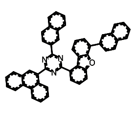 c1ccc2cc(-c3nc(-c4cc5ccccc5c5ccccc45)nc(-c4cccc5oc6c(-c7ccc8ccccc8c7)cccc6c45)n3)ccc2c1